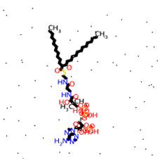 CCCCCCCCCCCCCC(=O)C(CCCCCCCCCCCC)C(=O)SCCNC(=O)CCNC(=O)[C@H](O)C(C)(C)COP(=O)(O)OP(=O)(O)OC[C@H]1O[C@@H](n2cnc3c(N)ncnc32)[C@H](O)[C@@H]1OP(=O)(O)O